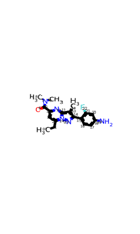 CCc1cc(C(=O)N(C)C)nc2c(C)c(-c3ccc(N)cc3F)nn12